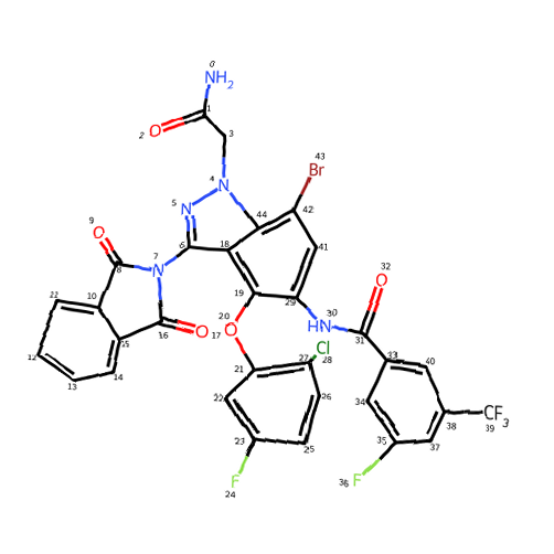 NC(=O)Cn1nc(N2C(=O)c3ccccc3C2=O)c2c(Oc3cc(F)ccc3Cl)c(NC(=O)c3cc(F)cc(C(F)(F)F)c3)cc(Br)c21